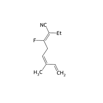 C=C/C(C)=C\C/C(F)=C(/C#N)CC